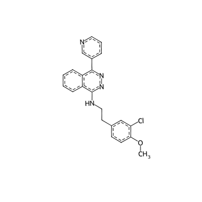 COc1ccc(CCNc2nnc(-c3cccnc3)c3ccccc23)cc1Cl